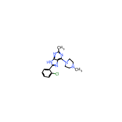 Cc1nc(N2CCN(C)CC2)c2nc(-c3ccccc3Cl)[nH]c2n1